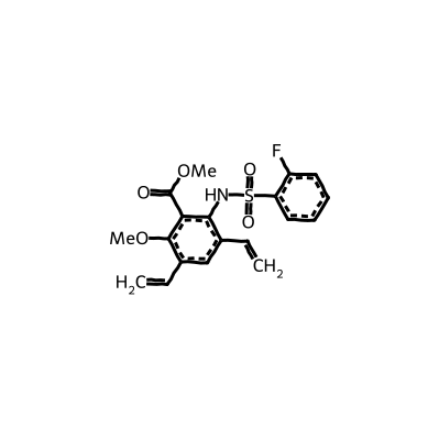 C=Cc1cc(C=C)c(OC)c(C(=O)OC)c1NS(=O)(=O)c1ccccc1F